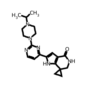 CC(C)N1CCN(c2nccc(-c3cc4c([nH]3)C3(CC3)CNC4=O)n2)CC1